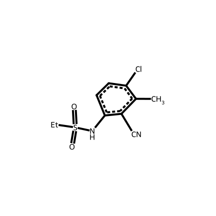 CCS(=O)(=O)Nc1ccc(Cl)c(C)c1C#N